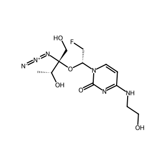 C[C@@H](O)[C@](CO)(N=[N+]=[N-])O[C@H](CF)n1ccc(NCCO)nc1=O